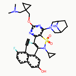 C#Cc1c(F)ccc2cc(O)cc(C3=C(F)c4nc(OCC5(CN(C)C)CC5)nc(N5CC6CCC(C5)N6)c4S(=O)(=O)N3C3CC3)c12